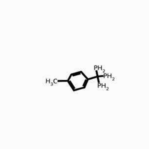 Cc1ccc(C(P)(P)P)cc1